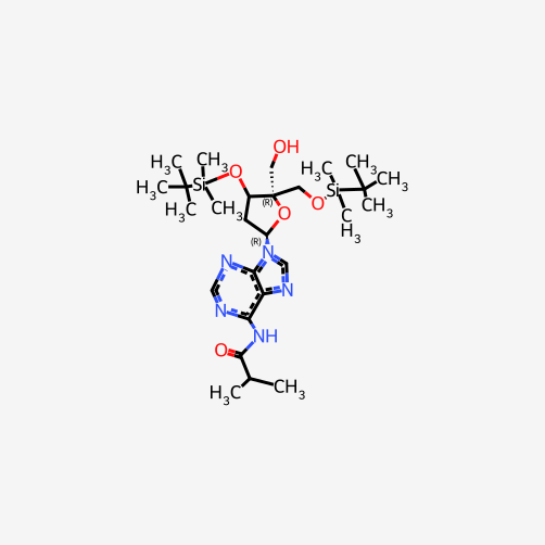 CC(C)C(=O)Nc1ncnc2c1ncn2[C@H]1CC(O[Si](C)(C)C(C)(C)C)[C@@](CO)(CO[Si](C)(C)C(C)(C)C)O1